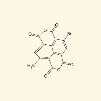 Cc1cc2c3c(c(Br)cc4c3c1C(=O)OC4=O)C(=O)OC2=O